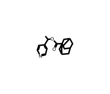 CC(OC(=O)C12CC3CC(CC(C3)C1)C2)c1ccncc1